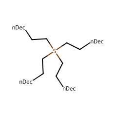 CCCCCCCCCCCCS(CCCCCCCCCCCC)(CCCCCCCCCCCC)CCCCCCCCCCCC